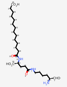 N[C@H]([C]=O)CCCCNC(=O)CC[C@H](NC(=O)CCCCCCCCCCCCC(=O)O)C(=O)O